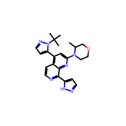 CC1COCCN1c1cc(-c2ccnn2C(C)(C)C)c2ccnc(-c3ccn[nH]3)c2n1